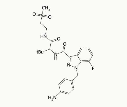 CC(C)(C)C(NC(=O)c1nn(Cc2ccc(N)cc2)c2c(F)cccc12)C(=O)NCCS(C)(=O)=O